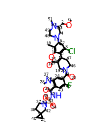 COC[C@H]1CN(c2cc(Cl)c3c4c(c(=O)oc3c2C)CN(C(=O)c2cc(N(C)C)c(C(=O)NS(=O)(=O)N3CCC5(CC5)C3)cc2F)CC4)CCN1C